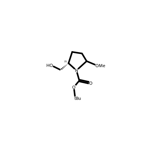 COC1CC[C@@H](CO)N1C(=O)OC(C)(C)C